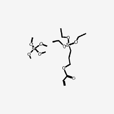 C=CC(=O)OCCC[Si](OCC)(OCC)OCC.CO[Si](OC)(OC)OC